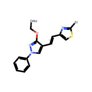 CCc1nc(/C=C/c2cn(-c3ccccc3)nc2OCOC)cs1